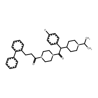 CC(C)N1CCC(C(C(=O)N2CCN(C(=O)CCc3ccccc3-c3ccccc3)CC2)c2ccc(F)cc2)CC1